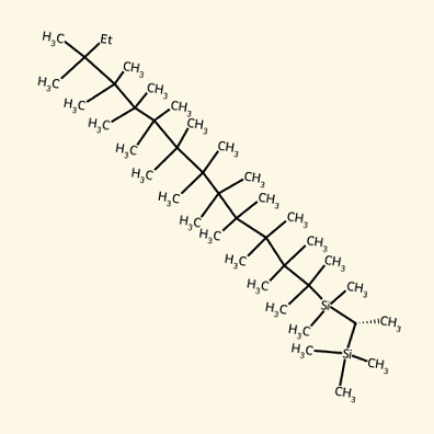 CCC(C)(C)C(C)(C)C(C)(C)C(C)(C)C(C)(C)C(C)(C)C(C)(C)C(C)(C)C(C)(C)C(C)(C)C(C)(C)[Si](C)(C)[C@H](C)[Si](C)(C)C